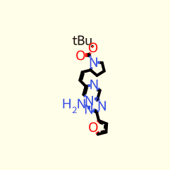 CC(C)(C)OC(=O)N1CCCC1/C=C\C1=C[N+]2(N)N=C(c3ccco3)N=C2C=N1